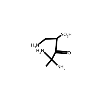 CC(N)(N)C(=O)C(CN)S(=O)(=O)O